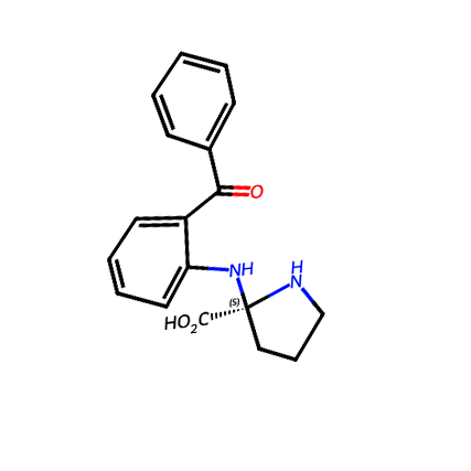 O=C(c1ccccc1)c1ccccc1N[C@]1(C(=O)O)CCCN1